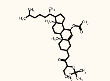 CCC(OC(C)(C)C)C(=O)CC1CC[C@@]2(C)C(=C[C@H](OC(C)=O)C3C4CCC([C@H](C)CCCC(C)C)[C@@]4(C)CCC32)C1